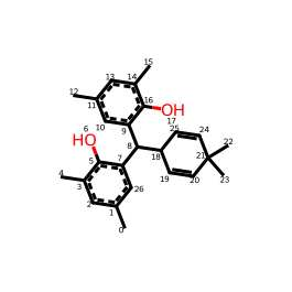 Cc1cc(C)c(O)c(C(c2cc(C)cc(C)c2O)C2C=CC(C)(C)C=C2)c1